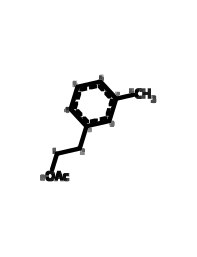 CC(=O)OCCc1cccc(C)c1